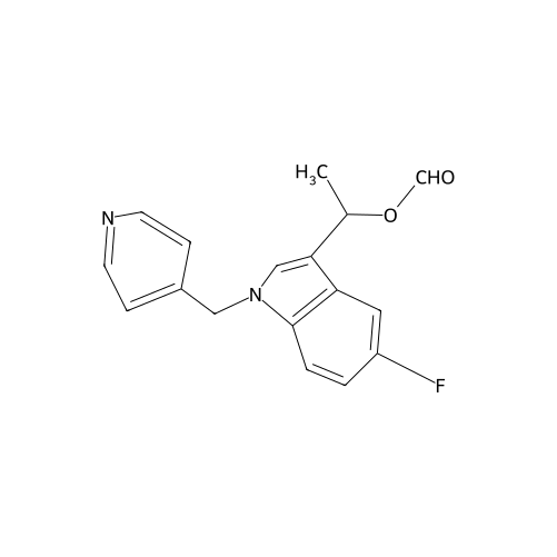 CC(OC=O)c1cn(Cc2ccncc2)c2ccc(F)cc12